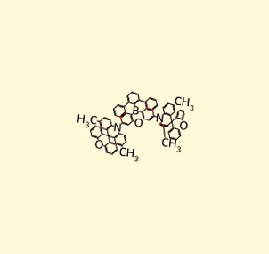 Cc1ccc2c(c1)C1(c3ccccc3Oc3ccccc31)c1cc(C)ccc1N2c1ccc2c(c1)Oc1cc(N3c4ccc(C)cc4C4(c5ccccc5Oc5ccccc54)c4cc(C)ccc43)ccc1B2c1c(-c2ccccc2)cccc1-c1ccccc1